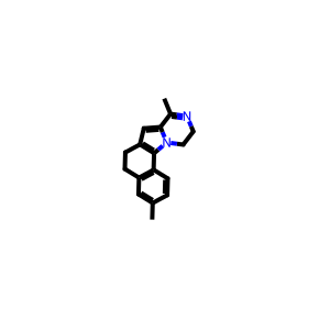 CC1=NCCn2c1cc1c2-c2ccc(C)cc2CC1